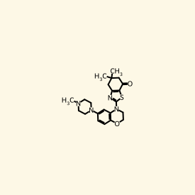 CN1CCN(c2ccc3c(c2)N(c2nc4c(s2)C(=O)CC(C)(C)C4)CCO3)CC1